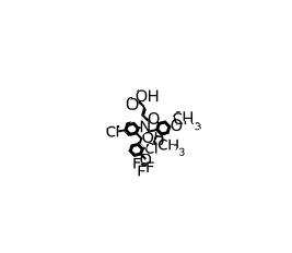 COc1ccc(CN(C(=O)C=CC(=O)O)c2ccc(Cl)cc2C(O)c2cccc(OC(F)(F)F)c2Cl)c(OC)c1